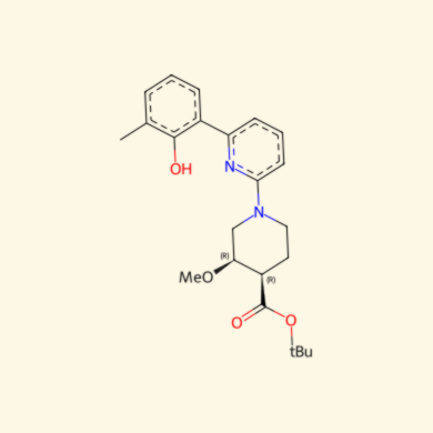 CO[C@H]1CN(c2cccc(-c3cccc(C)c3O)n2)CC[C@H]1C(=O)OC(C)(C)C